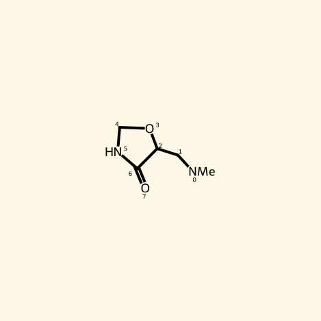 CNCC1OCNC1=O